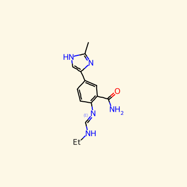 CCN/C=N/c1ccc(-c2c[nH]c(C)n2)cc1C(N)=O